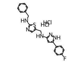 Cl.Cl.Fc1ccc(-c2cc(NCc3cnc(NCc4ccccc4)s3)n[nH]2)cc1